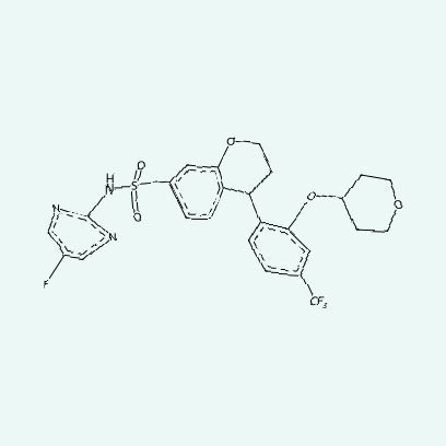 O=S(=O)(Nc1ncc(F)cn1)c1ccc2c(c1)OCCC2c1ccc(C(F)(F)F)cc1OC1CCOCC1